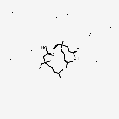 C=CC(C)(CCC=C(C)C)CCC(=O)O.CCC(C)(CCCC(C)C)CC(=O)O